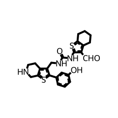 O=Cc1c(NC(=O)NCc2c(-c3cccc(O)c3)sc3c2CCNC3)sc2c1CCCC2